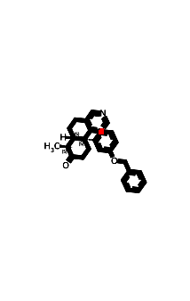 C[C@@H]1C(=O)CC[C@]2(c3cccc(OCc4ccccc4)c3)c3ncncc3CC[C@@H]12